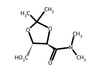 CN(C)C(=O)[C@@H]1OC(C)(C)O[C@H]1C(=O)O